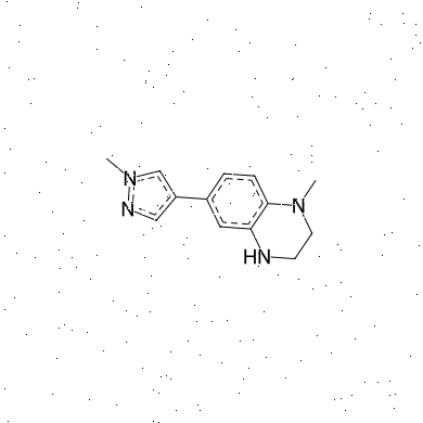 CN1CCNc2cc(-c3cnn(C)c3)ccc21